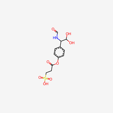 O=CNC(c1ccc(OC(=O)CCS(=O)(=O)O)cc1)C(O)O